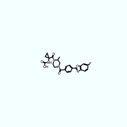 CC1CN(C(=O)c2ccc(-c3nc4ccc(F)cc4o3)cc2)CCN1C(=O)C1(NC(=O)O)CC1